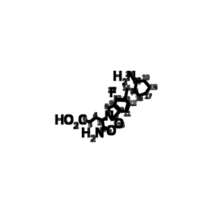 NC(=O)C(CCC(=O)O)N1Cc2c(ccc(C[C@H]3CCCC[C@@H]3N)c2F)C1=O